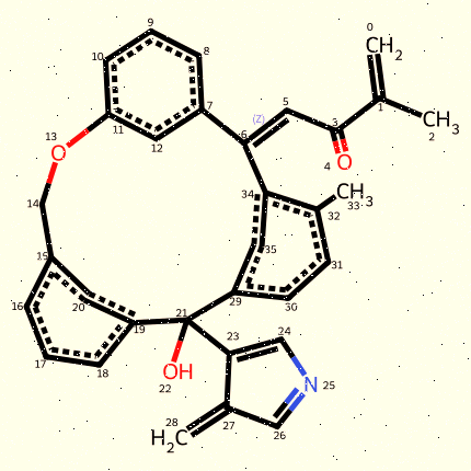 C=C(C)C(=O)/C=C1/c2cccc(c2)OCc2cccc(c2)C(O)(C2=CN=CC2=C)c2ccc(C)c1c2